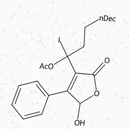 CCCCCCCCCCCCC(I)(OC(C)=O)C1=C(c2ccccc2)C(O)OC1=O